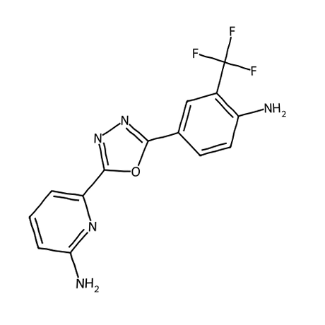 Nc1cccc(-c2nnc(-c3ccc(N)c(C(F)(F)F)c3)o2)n1